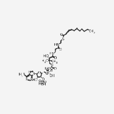 CCCCCCCC=C=CCC(=O)SCCNC(=O)CCNC(=O)[C@H](O)C(C)(C)COP(=O)(O)OP(=O)(O)OC[C@H]1O[C@H](n2cnc3c(N)ncnc32)[C@H](O)[C@@H]1OP(=O)(O)O